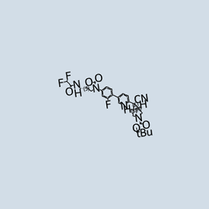 CC(C)(C)OC(=O)N1C[C@@H]2[C@H](C1)[C@@]2(C#N)c1ccc(-c2ccc(N3C[C@H](CNC(=O)C(F)F)OC3=O)cc2F)cn1